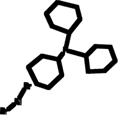 C1CCC(P(C2CCCCC2)C2CCCCC2)CC1.[Br][Ni][Br]